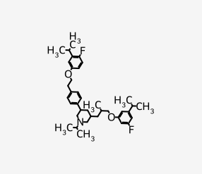 CC(COc1cc(F)cc(C(C)C)c1)CC1CC(c2ccc(CCOc3ccc(F)c(C(C)C)c3)cc2)CN(C(C)C)C1